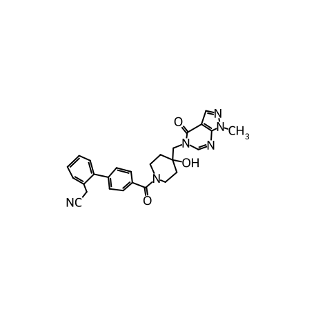 Cn1ncc2c(=O)n(CC3(O)CCN(C(=O)c4ccc(-c5ccccc5CC#N)cc4)CC3)cnc21